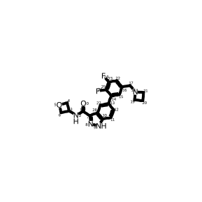 O=C(NC1COC1)c1n[nH]c2ccc(-c3cc(CN4CCC4)cc(F)c3F)cc12